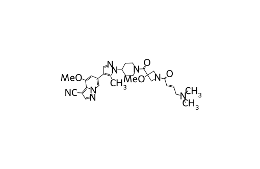 COc1cc(-c2cnn(C3CCN(C(=O)C4(OC)CN(C(=O)/C=C/CN(C)C)C4)CC3)c2C)cn2ncc(C#N)c12